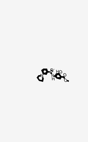 COC(=O)c1ccc(N[S+]([O-])c2cccc(N3CCCCC3)c2)cc1O